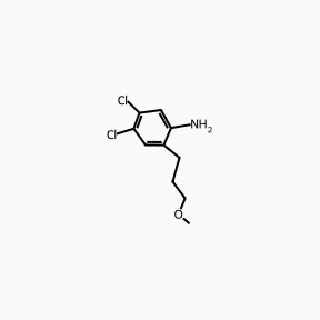 COCCCc1cc(Cl)c(Cl)cc1N